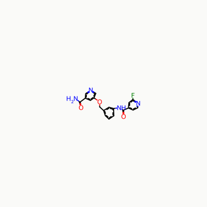 NC(=O)c1cncc(OCc2cccc(NC(=O)c3ccnc(F)c3)c2)c1